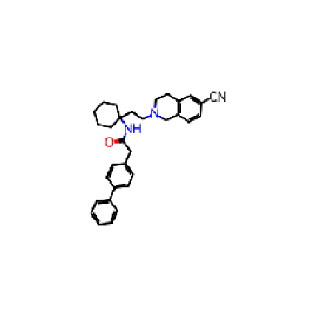 N#Cc1ccc2c(c1)CCN(CCC1(NC(=O)Cc3ccc(-c4ccccc4)cc3)CCCCC1)C2